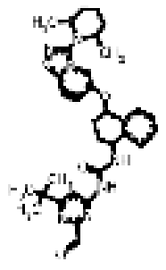 CC1CCCC(C)N1c1nnc2c#cc(OC3CCC(NC(=O)Nc4cc(C(C)(C)C)nc(C=O)n4)c4ccccc43)cn12